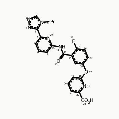 CC(C)n1cnnc1-c1cccc(NC(=O)c2cc(Oc3cccc(C(=O)O)n3)ccc2F)n1